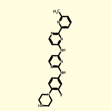 Cc1cccc(-c2nccc(Nc3ccnc(Nc4ccc(N5CCNCC5)c(F)c4)n3)n2)n1